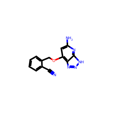 N#Cc1ccccc1COc1cc(N)nc2[nH]nnc12